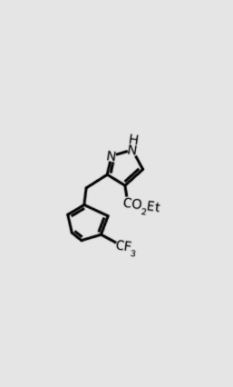 CCOC(=O)c1c[nH]nc1Cc1cccc(C(F)(F)F)c1